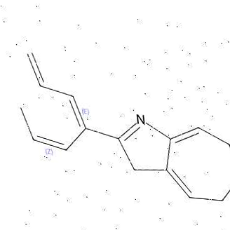 C=C/C=C(\C=C/C)C1=NC2=CCCCC=C2C1